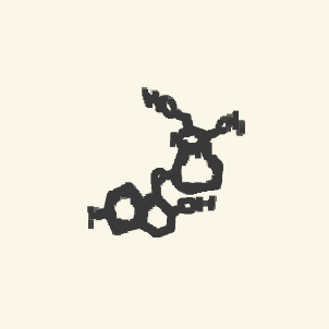 Cc1c(CO)nc2c(OC3c4ccc(F)cc4CCC3O)cccn12